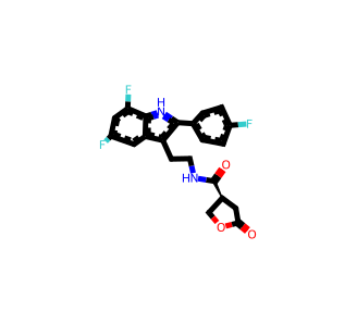 O=C1C[C@H](C(=O)NCCc2c(-c3ccc(F)cc3)[nH]c3c(F)cc(F)cc23)CO1